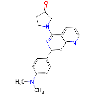 CN(C)c1ccc(-c2cc3ncccc3c(N3CCC(=O)C3)n2)cc1